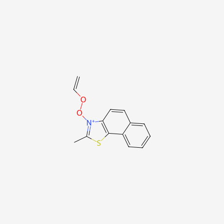 C=COO[n+]1c(C)sc2c3ccccc3ccc21